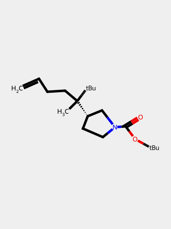 C=CCCC(C)([C@H]1CCN(C(=O)OC(C)(C)C)C1)C(C)(C)C